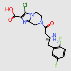 N[C@@H](CC(=O)N1CCn2c(nc(C(=O)O)c2Cl)C1)Cc1cc(F)ccc1F